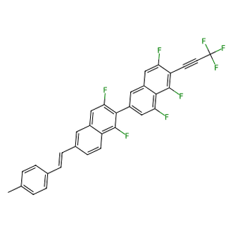 Cc1ccc(/C=C/c2ccc3c(F)c(-c4cc(F)c5c(F)c(C#CC(F)(F)F)c(F)cc5c4)c(F)cc3c2)cc1